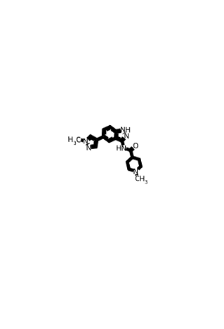 CN1CCC(C(=O)Nc2n[nH]c3ccc(-c4cnn(C)c4)cc23)CC1